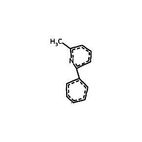 Cc1cccc(-c2cc[c]cc2)n1